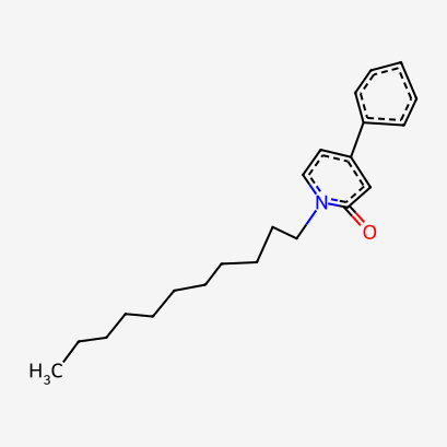 CCCCCCCCCCCn1ccc(-c2ccccc2)cc1=O